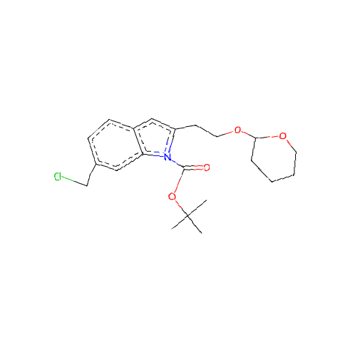 CC(C)(C)OC(=O)n1c(CCOC2CCCCO2)cc2ccc(CCl)cc21